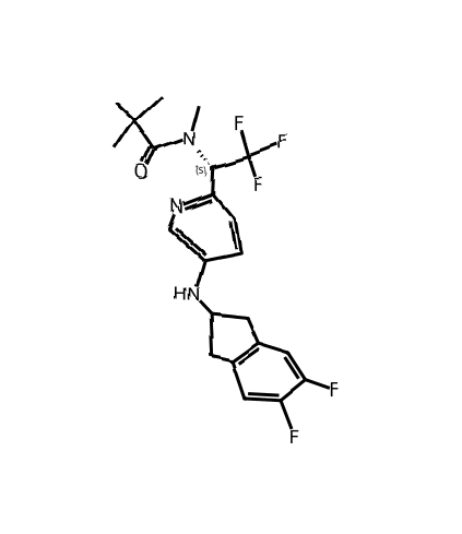 CN(C(=O)C(C)(C)C)[C@@H](c1ccc(NC2Cc3cc(F)c(F)cc3C2)cn1)C(F)(F)F